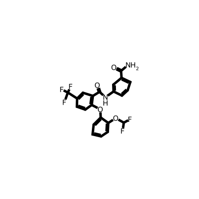 NC(=O)c1cccc(NC(=O)c2cc(C(F)(F)F)ccc2Oc2ccccc2OC(F)F)c1